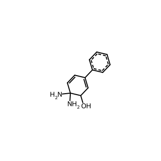 NC1(N)C=CC(c2ccccc2)=CC1O